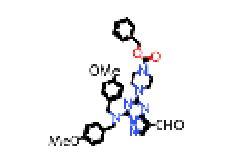 COc1ccc(CN(Cc2ccc(OC)cc2)c2nc(N3CCN(C(=O)OCc4ccccc4)CC3)nc3c(C=O)cnn23)cc1